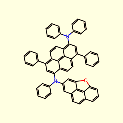 c1ccc(-c2cc(N(c3ccccc3)c3ccccc3)c3ccc4c(-c5ccccc5)cc(N(c5ccccc5)c5cc6ccc7cccc8oc(c5)c6c78)c5ccc2c3c45)cc1